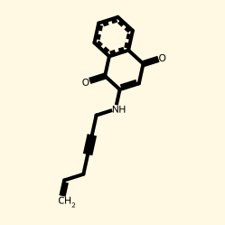 C=CCC#CCNC1=CC(=O)c2ccccc2C1=O